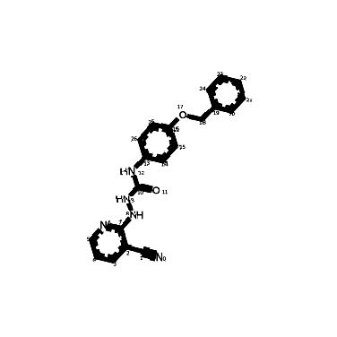 N#Cc1cccnc1NNC(=O)Nc1ccc(OCc2ccccc2)cc1